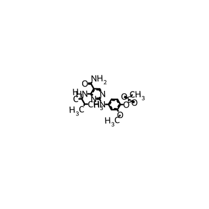 COc1cc(Nc2ncc(C(N)=O)c(NC(C)C(C)C)n2)ccc1OS(C)(=O)=O